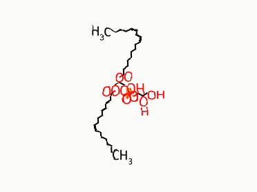 CCCCC/C=C\C/C=C\CCCCCCCC(=O)O[C@H](COC(=O)CCCCCCC/C=C\CCCCCCC)COP(=O)(O)OC[C@@H](O)CO